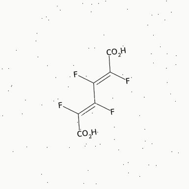 O=C(O)C(F)=C(F)C(F)=C(F)C(=O)O